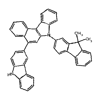 CC1(C)c2ccccc2-c2ccc(-n3c4ccccc4c4c5ccccc5c(-c5ccc6[nH]c7ccccc7c6c5)cc43)cc21